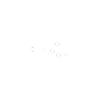 C=CC(=O)Nc1cccc(-c2cc(Cc3ccccc3)cc(NC3C=C(CCc4ccccc4)NN3)n2)c1